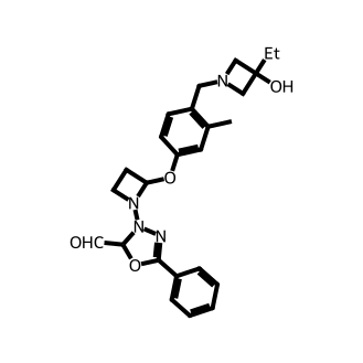 CCC1(O)CN(Cc2ccc(OC3CCN3N3N=C(c4ccccc4)OC3C=O)cc2C)C1